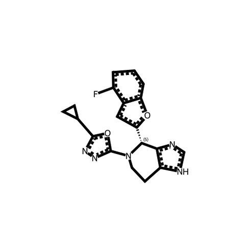 Fc1cccc2oc([C@@H]3c4nc[nH]c4CCN3c3nnc(C4CC4)o3)cc12